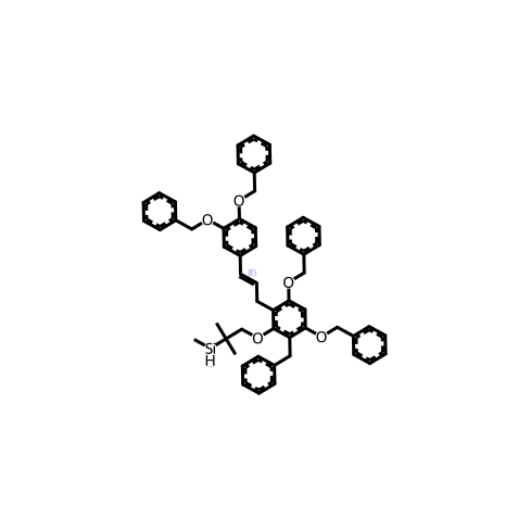 C[SiH](C)C(C)(C)COc1c(C/C=C/c2ccc(OCc3ccccc3)c(OCc3ccccc3)c2)c(OCc2ccccc2)cc(OCc2ccccc2)c1Cc1ccccc1